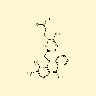 Cc1cccc(N(CC(=O)NC(CC[S+](C)[O-])C(=O)O)c2ccccc2C(=O)O)c1C